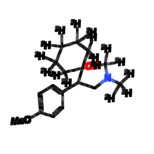 [2H]C([2H])([2H])N(CC(c1ccc(OC)cc1)C1(O)C([2H])([2H])C([2H])([2H])C([2H])([2H])C([2H])([2H])C1([2H])[2H])C([2H])([2H])[2H]